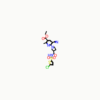 CCOC(=O)c1cc(C#N)c(N2CCC(C(=O)NS(=O)(=O)c3ccc(Cl)s3)C2)nc1C